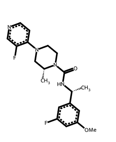 COc1cc(F)cc([C@@H](C)NC(=O)N2CCN(c3ccncc3F)C[C@H]2C)c1